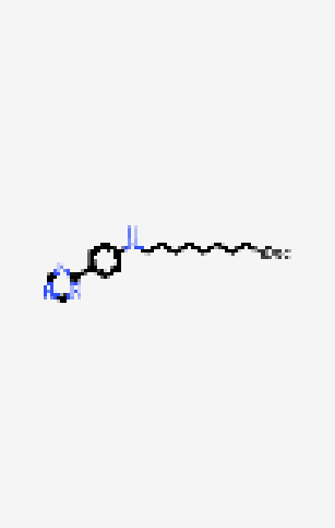 CCCCCCCCCCCCCCCCCCNc1ccc(-c2ncncn2)cc1